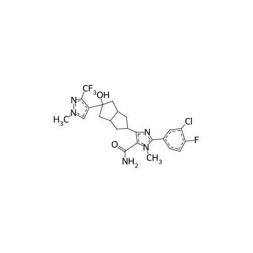 Cn1cc(C2(O)CC3CC(c4nc(-c5ccc(F)c(Cl)c5)n(C)c4C(N)=O)CC3C2)c(C(F)(F)F)n1